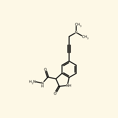 CN(C)CC#Cc1ccc2c(c1)C(C(=O)NN)C(=O)N2